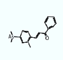 Cc1cc([As](C)C)ccc1C=CC(=O)c1ccccc1